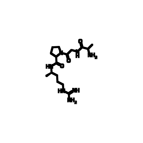 CC(N)C(=O)NCC(=O)N1CCCC1C(=O)N[C@H](C)CCCNC(=N)N